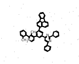 Cc1ccccc1-c1nccc(-c2cc(-c3cc(-c4ccccc4)nc(C4C=CC=CC4)n3)cc(-c3ccc4c5c(cccc35)-c3ccccc3-4)c2)c1C